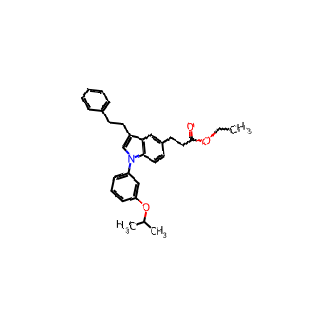 CCOC(=O)CCc1ccc2c(c1)c(CCc1ccccc1)cn2-c1cccc(OC(C)C)c1